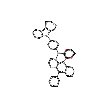 c1ccc(-c2c3ccccc3c(-c3ccccc3)c3c(N(c4ccccc4)c4ccc(-n5c6ccccc6c6ccccc65)cc4)cccc23)cc1